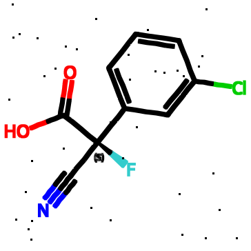 N#C[C@](F)(C(=O)O)c1cccc(Cl)c1